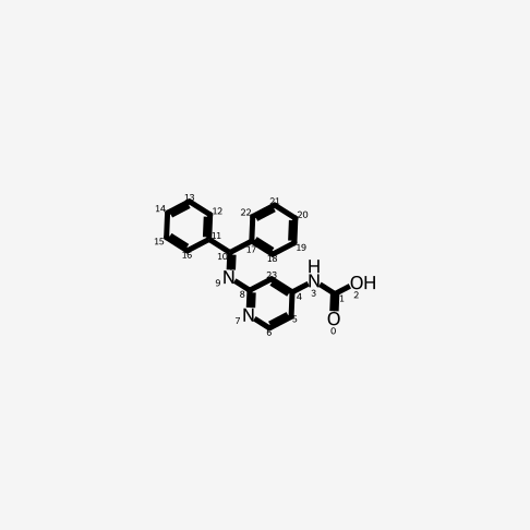 O=C(O)Nc1ccnc(N=C(c2ccccc2)c2ccccc2)c1